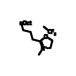 CC(F)(F)F.CCCCCCCCCCCC1=[N+](C)CCO1